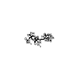 NC(=O)OCC1(C(=O)O)CS[C@H]2N(C1)C(=O)C2(N)C(=O)NCCCCC(O)(P(=O)(O)O)P(=O)(O)O